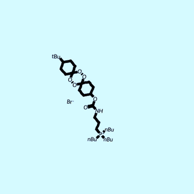 CCCC[P+](CCCC)(CCCC)CCCNC(=O)OC1CCC2(CC1)OOC1(CCC(C(C)(C)C)CC1)OO2.[Br-]